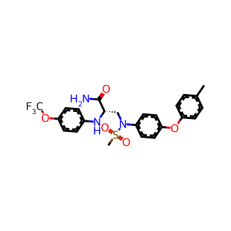 Cc1ccc(Oc2ccc(N(C[C@H](Nc3ccc(OC(F)(F)F)cc3)C(N)=O)S(C)(=O)=O)cc2)cc1